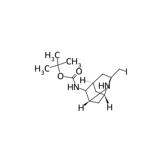 CC(C)(C)OC(=O)NC1[C@@H]2C[C@H]3C[C@H]1CC(CI)(C2)N3